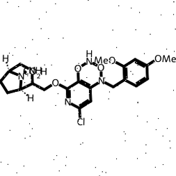 COc1ccc(Cn2o[nH]oc3c(OCC4NC[C@@H]5CC[C@H]4N5C(=O)O)nc(Cl)cc32)c(OC)c1